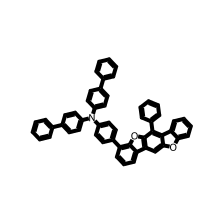 c1ccc(-c2ccc(N(c3ccc(-c4ccccc4)cc3)c3ccc(-c4cccc5c4oc4c(-c6ccccc6)c6c(cc45)oc4ccccc46)cc3)cc2)cc1